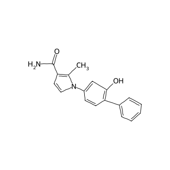 Cc1c(C(N)=O)ccn1-c1ccc(-c2ccccc2)c(O)c1